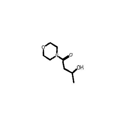 CC(O)CC(=O)N1CCOCC1